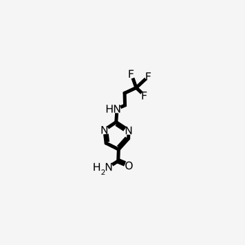 NC(=O)c1cnc(NCCC(F)(F)F)nc1